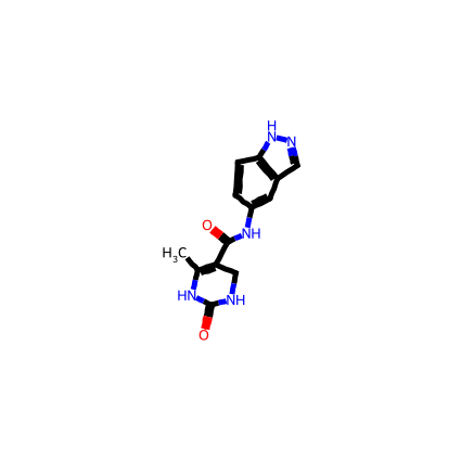 CC1=C(C(=O)Nc2ccc3[nH]ncc3c2)CNC(=O)N1